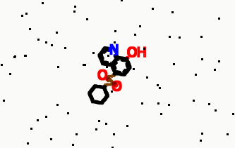 O=S(=O)(c1ccc(O)c2ncccc12)C1CCCCC1